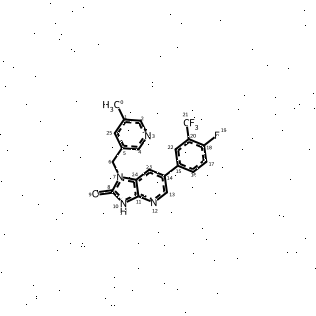 Cc1cncc(Cn2c(=O)[nH]c3ncc(-c4ccc(F)c(C(F)(F)F)c4)cc32)c1